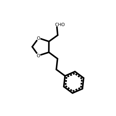 O=CCC1OCOC1CCc1ccccc1